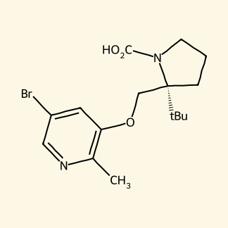 Cc1ncc(Br)cc1OC[C@]1(C(C)(C)C)CCCN1C(=O)O